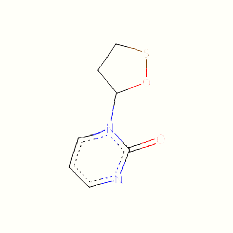 O=c1ncccn1C1CCSO1